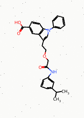 CC(C)c1cccc(NC(=O)COCCc2cn(-c3ccccc3)c3ccc(C(=O)O)cc23)c1